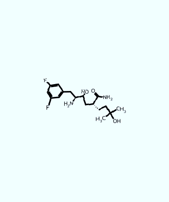 CC(C)(O)CC[C@H](C[C@H](O)[C@@H](N)Cc1cc(F)cc(F)c1)C(N)=O